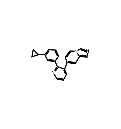 c1cc(-c2ncccc2-c2ccn3cncc3c2)cc(C2CC2)c1